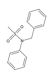 CS(=O)(=O)N(Cc1ccccc1)c1ccccc1